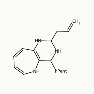 C=CCC1NC2=C(NC=CC=C2)C(CCCCC)N1